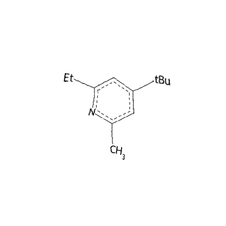 CCc1cc(C(C)(C)C)cc(C)n1